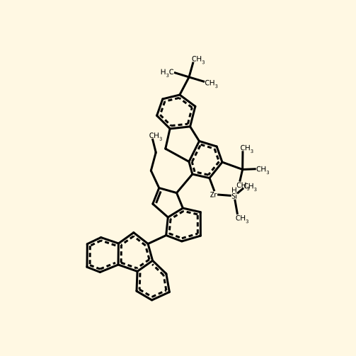 CCCC1=Cc2c(-c3cc4ccccc4c4ccccc34)cccc2C1c1c2c(cc(C(C)(C)C)[c]1[Zr][SiH](C)C)-c1cc(C(C)(C)C)ccc1C2